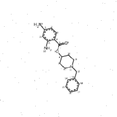 Nc1ccc(C(=O)OC2CCN(Cc3ccccc3)CC2)c(N)c1